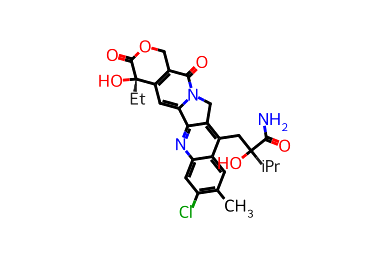 CC[C@@]1(O)C(=O)OCc2c1cc1n(c2=O)Cc2c-1nc1cc(Cl)c(C)cc1c2CC(O)(C(N)=O)C(C)C